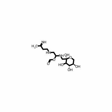 CC(=N)CCNCC(NC[C@@]1(O)OC[C@@H](O)[C@H](O)C1O)OC=O